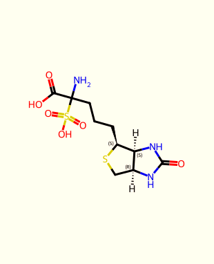 NC(CCC[C@@H]1SC[C@@H]2NC(=O)N[C@@H]21)(C(=O)O)S(=O)(=O)O